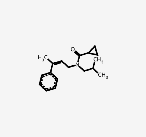 C/C(=C/CN(CC(C)C)C(=O)C1CC1)c1ccccc1